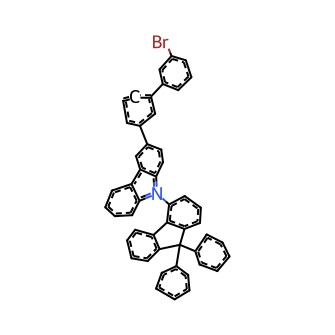 Brc1cccc(-c2cccc(-c3ccc4c(c3)c3ccccc3n4-c3cccc4c3-c3ccccc3C4(c3ccccc3)c3ccccc3)c2)c1